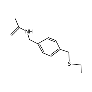 C=C(C)NCc1ccc(CSCC)cc1